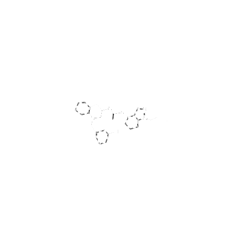 O=C(O)Cn1ncc2c(NC(=O)NC3Cc4ccccc4N(Cc4cccc(C(F)(F)F)c4)C3)cccc21